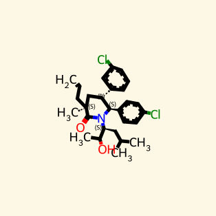 C=CC[C@@]1(C)C[C@H](c2cccc(Cl)c2)[C@@H](c2ccc(Cl)cc2)N([C@@H](CC(C)C)C(C)O)C1=O